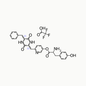 NC(Cc1ccc(O)cc1)C(=O)Oc1ccc(/C=c2\[nH]c(=O)/c(=C/c3ccccc3)[nH]c2=O)nc1.O=C(O)C(F)(F)F